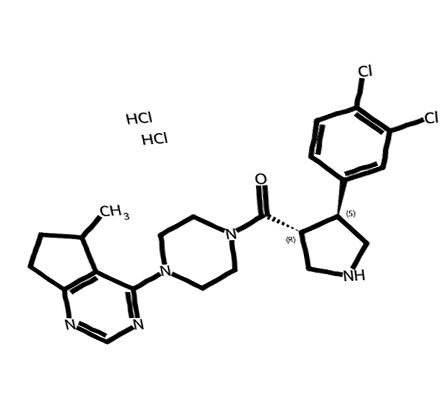 CC1CCc2ncnc(N3CCN(C(=O)[C@H]4CNC[C@@H]4c4ccc(Cl)c(Cl)c4)CC3)c21.Cl.Cl